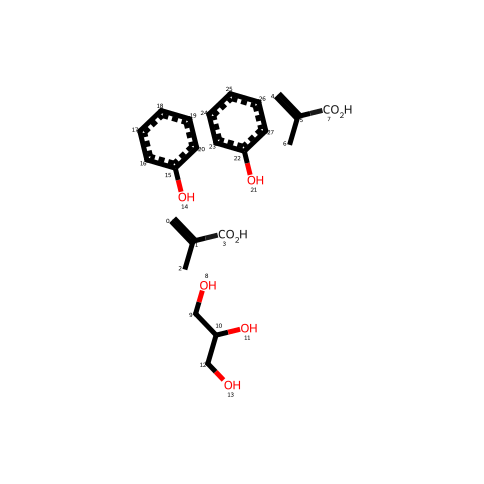 C=C(C)C(=O)O.C=C(C)C(=O)O.OCC(O)CO.Oc1ccccc1.Oc1ccccc1